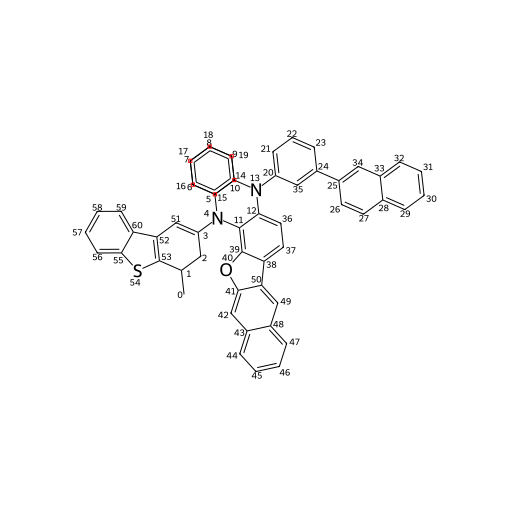 CC1CC(N(c2ccccc2)c2c(N(c3ccccc3)c3cccc(-c4ccc5ccccc5c4)c3)ccc3c2oc2cc4ccccc4cc23)=Cc2c1sc1ccccc21